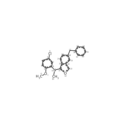 COc1ccc(Cl)cc1N(C)c1occ2cc(Cc3ccccc3)ccc12